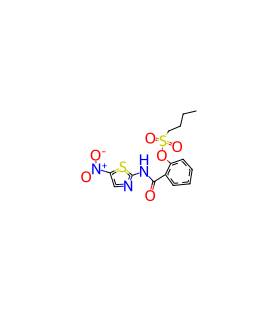 CCCCS(=O)(=O)Oc1ccccc1C(=O)Nc1ncc([N+](=O)[O-])s1